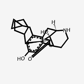 O=C1C[C@]23CCN[C@H](Cc4c(CC5CC5)cc(O)cc42)[C@]3(O)C[C@@H]1CC1CCCC1